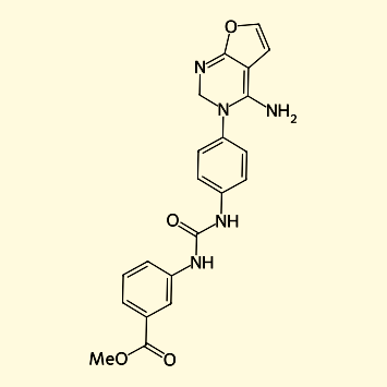 COC(=O)c1cccc(NC(=O)Nc2ccc(N3CN=c4occc4=C3N)cc2)c1